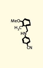 COc1cccc(CNc2ccc(C#N)cc2)c1C